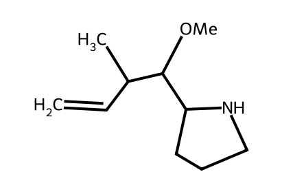 C=CC(C)C(OC)C1CCCN1